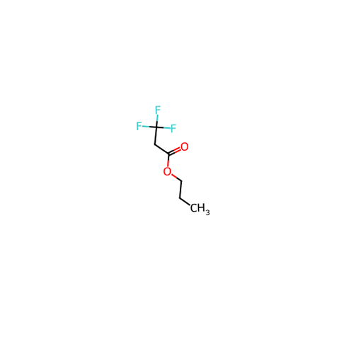 CCCOC(=O)CC(F)(F)F